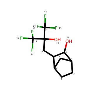 OC1C2CCC(C2)C1CC(O)(C(F)(F)F)C(F)(F)F